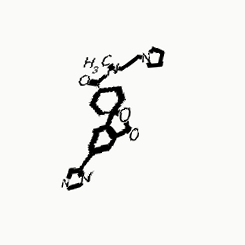 CN(CCN1CCCC1)C(=O)[C@H]1CC[C@@]2(CC1)OC(=O)c1cc(-c3cnccn3)ccc12